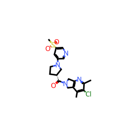 Cc1nc2c(c(C)c1Cl)CN(C(=O)[C@@H]1CCN(c3cncc(S(C)(=O)=O)c3)C1)C2